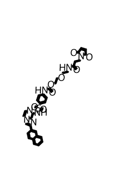 O=C(CCN1C(=O)C=CC1=O)NCCOCCOC(=O)Nc1ccc(S(=O)(=O)Nc2nccn3cc(-c4ccc5ccccc5c4)nc23)cc1